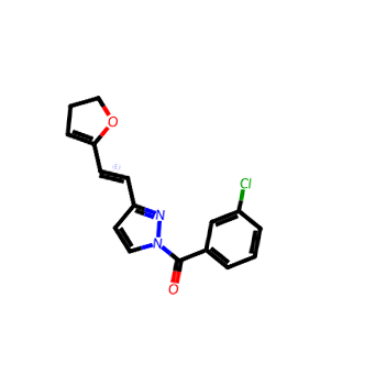 O=C(c1cccc(Cl)c1)n1ccc(/C=C/C2=CCCO2)n1